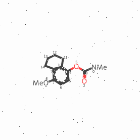 CNC(=O)Oc1ccc(OC)c2c1CCCC2